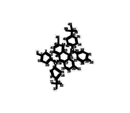 Cc1ccc(N(c2ccc(C(C)(C)C)cc2)c2c3ccc(C)cc3c(N(c3ccc(C)cc3)c3ccc(C(C)(C)C)cc3)c3cc(C)ccc23)cc1